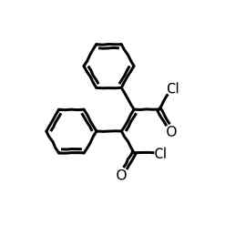 O=C(Cl)/C(=C(\C(=O)Cl)c1ccccc1)c1ccccc1